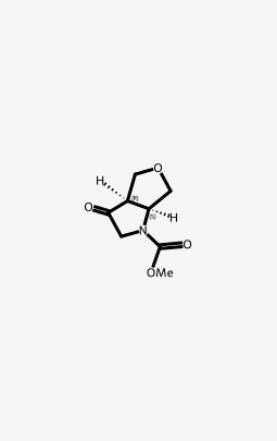 COC(=O)N1CC(=O)[C@H]2COC[C@H]21